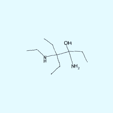 CCNC(CC)(CC)C(N)(O)CC